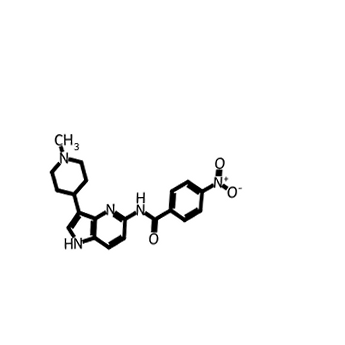 CN1CCC(c2c[nH]c3ccc(NC(=O)c4ccc([N+](=O)[O-])cc4)nc23)CC1